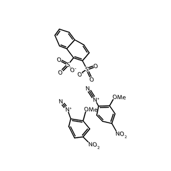 COc1cc([N+](=O)[O-])ccc1[N+]#N.COc1cc([N+](=O)[O-])ccc1[N+]#N.O=S(=O)([O-])c1ccc2ccccc2c1S(=O)(=O)[O-]